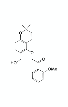 COc1ccccc1C(=O)COc1c(CO)ccc2c1C=CC(C)(C)O2